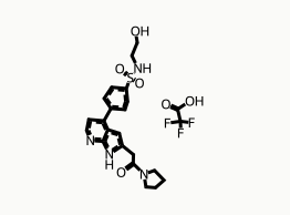 O=C(Cc1cc2c(-c3ccc(S(=O)(=O)NCCO)cc3)ccnc2[nH]1)N1CCCC1.O=C(O)C(F)(F)F